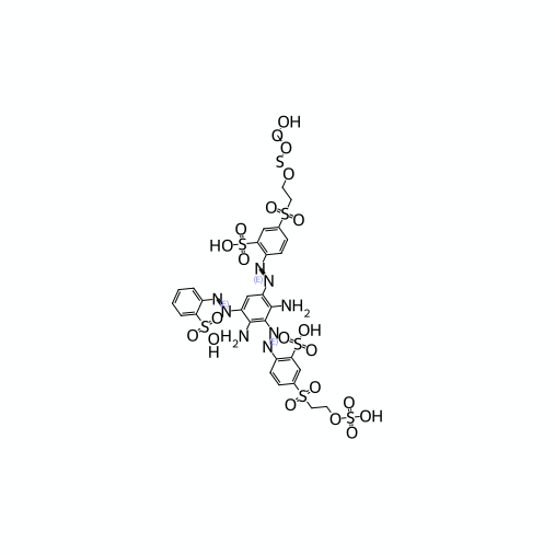 Nc1c(/N=N/c2ccccc2S(=O)(=O)O)cc(/N=N/c2ccc(S(=O)(=O)CCOSOOO)cc2S(=O)(=O)O)c(N)c1/N=N/c1ccc(S(=O)(=O)CCOS(=O)(=O)O)cc1S(=O)(=O)O